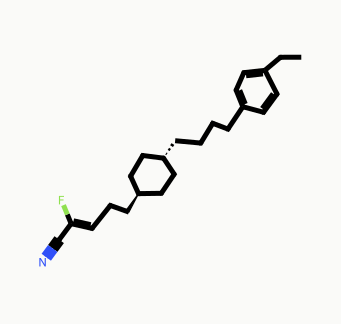 CCc1ccc(CCCC[C@H]2CC[C@H](CCC=C(F)C#N)CC2)cc1